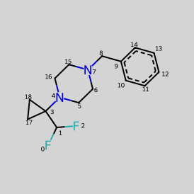 FC(F)C1(N2CCN(Cc3ccccc3)CC2)CC1